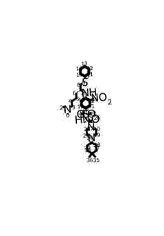 CN(C)CCCC[C@H](CSc1ccccc1)Nc1ccc(S(=O)(=O)NC(=O)N2CCN(C3CCC(C)(C)CC3)CC2)cc1[N+](=O)[O-]